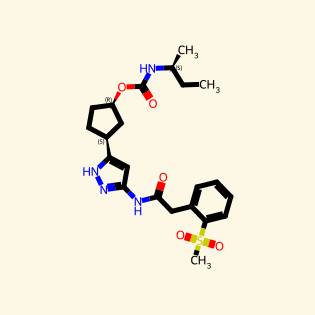 CC[C@H](C)NC(=O)O[C@@H]1CC[C@H](c2cc(NC(=O)Cc3ccccc3S(C)(=O)=O)n[nH]2)C1